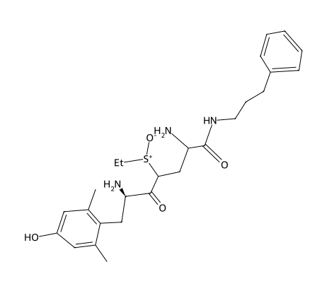 CC[S+]([O-])C(CC(N)C(=O)NCCCc1ccccc1)C(=O)[C@H](N)Cc1c(C)cc(O)cc1C